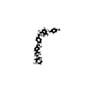 COc1ccc(COc2c(F)cc(C(=O)NCC3CCC(n4cc5ccc(-c6cnc(N7CC8(CNCCO8)C7)nc6)cc5n4)CC3)c(F)c2F)cc1